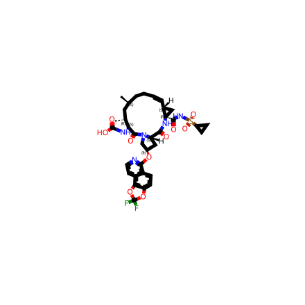 C[C@H]1CCC=C[C@@H]2C[C@@]2(C(=O)NS(=O)(=O)C2CC2)NC(=O)[C@@H]2C[C@@H](Oc3nccc4c5c(ccc34)OC(F)(F)O5)CN2C(=O)[C@@H](NC(=O)O)[C@H](C)C1